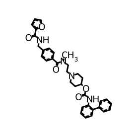 CN(CCN1CCC(OC(=O)Nc2ccccc2-c2ccccc2)CC1)C(=O)c1ccc(CNC(=O)c2ccco2)cc1